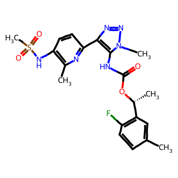 Cc1ccc(F)c([C@@H](C)OC(=O)Nc2c(-c3ccc(NS(C)(=O)=O)c(C)n3)nnn2C)c1